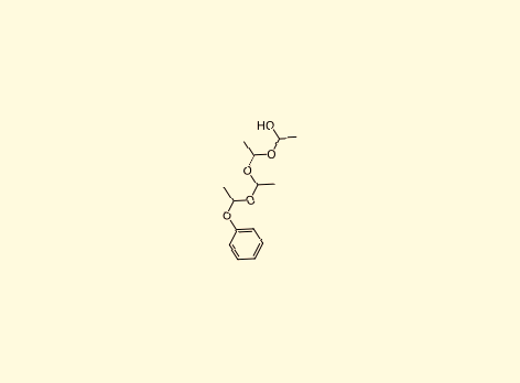 CC(O)OC(C)OC(C)OC(C)Oc1ccccc1